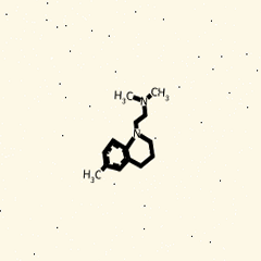 Cc1ccc2c(c1)CCCN2CCN(C)C